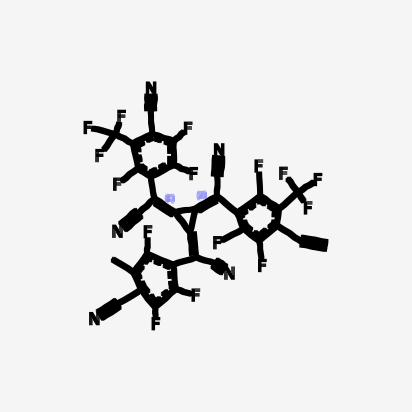 C#Cc1c(F)c(F)c(/C(C#N)=C2\C(=C(C#N)c3c(F)c(C)c(C#N)c(F)c3F)\C2=C(/C#N)c2c(F)c(F)c(C#N)c(C(F)(F)F)c2F)c(F)c1C(F)(F)F